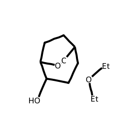 CCOCC.OC1CCC2CCC1OC2